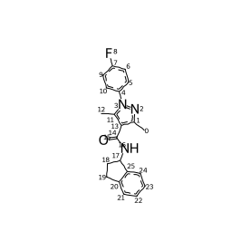 Cc1nn(-c2ccc(F)cc2)c(C)c1C(=O)NC1CCc2ccccc21